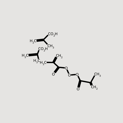 C=C(C)C(=O)O.C=C(C)C(=O)O.C=C(C)C(=O)OOOC(=O)C(=C)C